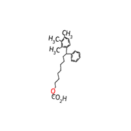 Cc1ccc(C(CCCCCCCCOC(=O)O)c2ccccc2)c(C)c1C